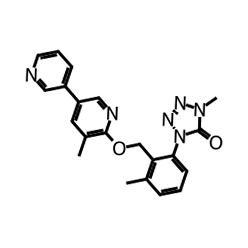 Cc1cc(-c2cccnc2)cnc1OCc1c(C)cccc1-n1nnn(C)c1=O